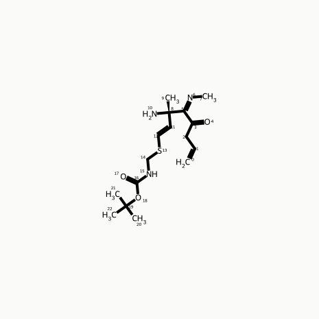 C=CCC(=O)/C(=N\C)[C@@](C)(N)/C=C/SCNC(=O)OC(C)(C)C